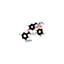 COc1cc(F)cc(C(Oc2ccc(CN(C)S(=O)(=O)c3ccc(F)c(F)c3)cc2)C(=O)O)c1